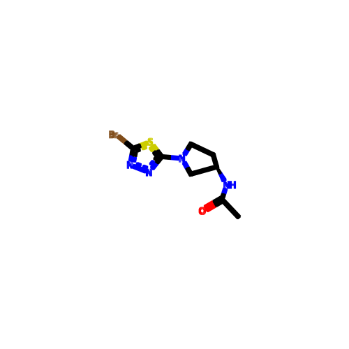 CC(=O)N[C@@H]1CCN(c2nnc(Br)s2)C1